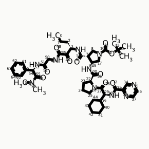 CCC[C@H](NC(=O)[C@@H]1CN(C(=O)OC(C)(C)C)C[C@@H]1NC(=O)[C@@H]1CCCN1C(=O)[C@@H](NC(=O)c1cnccn1)C1CCCCC1)C(=O)C(=O)NCC(=O)N[C@H](C(=O)N(C)C)c1ccccc1